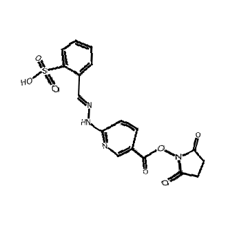 O=C(ON1C(=O)CCC1=O)c1ccc(NN=Cc2ccccc2S(=O)(=O)O)nc1